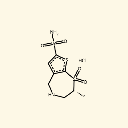 C[C@@H]1CNCc2cc(S(N)(=O)=O)sc2S1(=O)=O.Cl